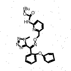 Cn1nnnc1/C(=N\OCc1cccc(NC(=O)OC(C)(C)C)n1)c1ccccc1Oc1ccccc1